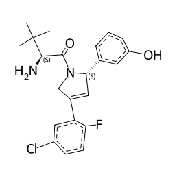 CC(C)(C)[C@H](N)C(=O)N1CC(c2cc(Cl)ccc2F)=C[C@H]1c1cccc(O)c1